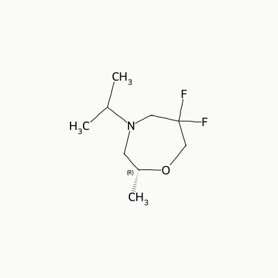 CC(C)N1C[C@@H](C)OCC(F)(F)C1